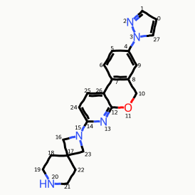 c1cnn(-c2ccc3c(c2)COc2nc(N4CC5(CCNCC5)C4)ccc2-3)c1